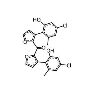 Cc1cc(Cl)cc(O)c1-c1ccoc1C(=O)c1occc1-c1c(C)cc(Cl)cc1O